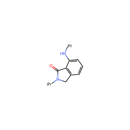 CC(C)Nc1cccc2c1C(=O)N(C(C)C)C2